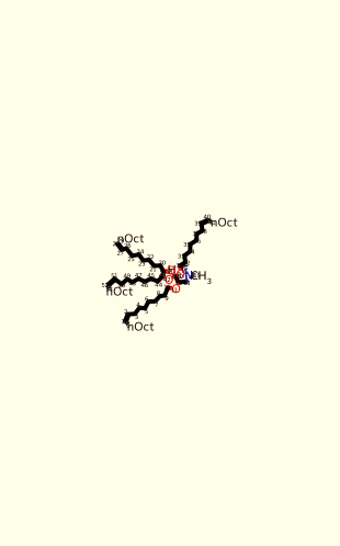 CCCCCCCC/C=C\CCCCCCCCOC(CN(C)C)C(OCCCCCCCC/C=C\CCCCCCCC)(OCCCCCCCC/C=C\CCCCCCCC)OCCCCCCCC/C=C\CCCCCCCC